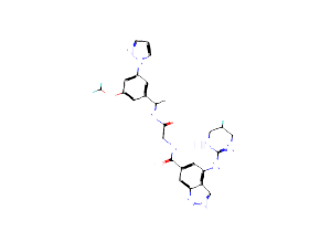 CC(NC(=O)CNC(=O)c1cc(NC2=NCC(F)CN2)c2cn[nH]c2c1)c1cc(OC(F)F)cc(-n2cccn2)c1